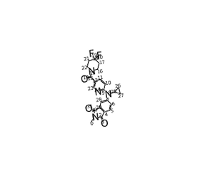 CN1C(=O)c2ccc(N(c3ccc(C(=O)N4CCC(F)(F)CC4)cn3)C3CC3)cc2C1=O